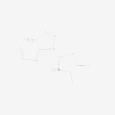 CCCC1CN(n2cnc3ccccc32)C(=O)C1C